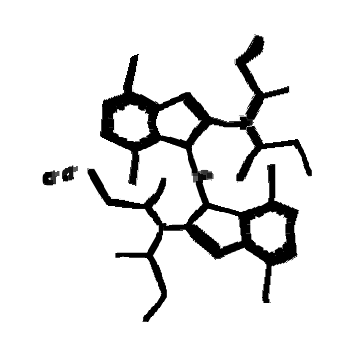 CCC(C)P(C1=Cc2c(C)ccc(C)c2[CH]1[Ti+2][CH]1C(P(C(C)CC)C(C)CC)=Cc2c(C)ccc(C)c21)C(C)CC.[Cl-].[Cl-]